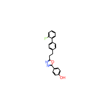 Oc1ccc(-c2nnc(CCc3ccc(-c4ccccc4F)cc3)o2)cc1